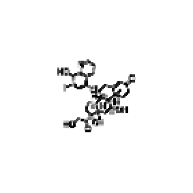 C[C@]12CCC(=O)C=C1CC[C@@H]1[C@@H]2[C@@H](O)C[C@@]2(C)[C@H]1CC[C@]2(O)C(=O)CO.Oc1c(I)cc(Cl)c2cccnc12